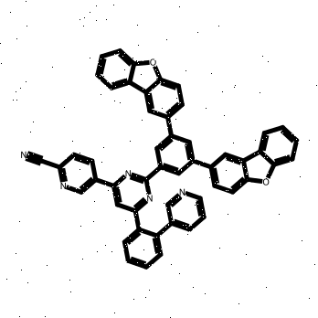 N#Cc1ccc(-c2cc(-c3ccccc3-c3cccnc3)nc(-c3cc(-c4ccc5oc6ccccc6c5c4)cc(-c4ccc5oc6ccccc6c5c4)c3)n2)cn1